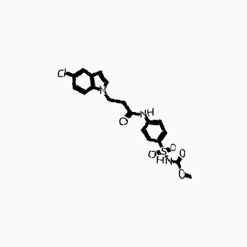 COC(=O)NS(=O)(=O)c1ccc(NC(=O)CCn2ccc3cc(Cl)ccc32)cc1